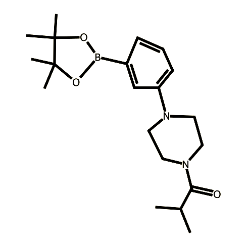 CC(C)C(=O)N1CCN(c2cccc(B3OC(C)(C)C(C)(C)O3)c2)CC1